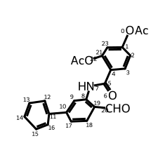 CC(=O)Oc1ccc(C(=O)Nc2cc(-c3ccccc3)ccc2C=O)c(OC(C)=O)c1